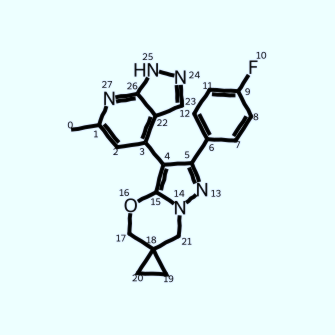 Cc1cc(-c2c(-c3ccc(F)cc3)nn3c2OCC2(CC2)C3)c2cn[nH]c2n1